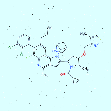 Cc1csnc1COC1CC(c2cc3c(C)nc4c(F)c(-c5cccc(Cl)c5Cl)c(CCC#N)cc4c3n2C2C3CNC2C3)N(C(=O)C2CC2)C1C